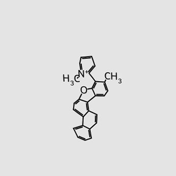 Cc1ccc2c(oc3ccc4c5ccccc5ccc4c32)c1-c1cccc[n+]1C